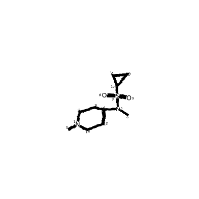 CN1CCC(N(C)S(=O)(=O)C2CC2)CC1